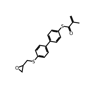 C=C(C)C(=O)Sc1ccc(-c2ccc(SCC3CO3)cc2)cc1